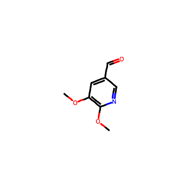 COc1cc(C=O)cnc1OC